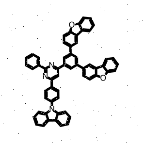 c1ccc(-c2nc(-c3ccc(-n4c5ccccc5c5ccccc54)cc3)cc(-c3cc(-c4ccc5oc6ccccc6c5c4)cc(-c4ccc5oc6ccccc6c5c4)c3)n2)cc1